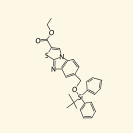 CCOC(=O)c1cn2c(nc3cc(CO[Si](c4ccccc4)(c4ccccc4)C(C)(C)C)ccc32)s1